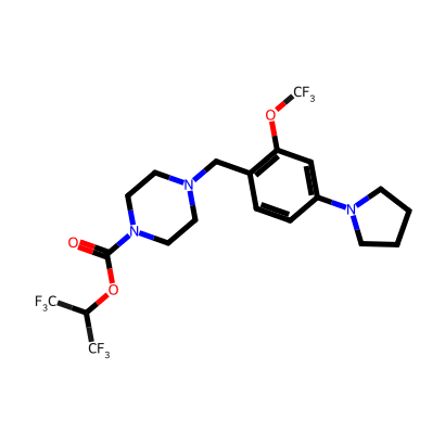 O=C(OC(C(F)(F)F)C(F)(F)F)N1CCN(Cc2ccc(N3CCCC3)cc2OC(F)(F)F)CC1